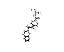 O=C(OC(C(F)(F)F)C(F)(F)F)N1CCC2(CC1)CC2C(=O)N1CCc2cncnc2C1